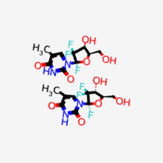 Cc1cn([C@]2(F)O[C@H](CO)[C@@H](O)C2(F)F)c(=O)[nH]c1=O.Cc1cn([C@]2(F)O[C@H](CO)[C@@H](O)C2(F)F)c(=O)[nH]c1=O